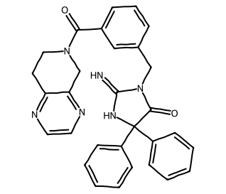 N=C1NC(c2ccccc2)(c2ccccc2)C(=O)N1Cc1cccc(C(=O)N2CCc3nccnc3C2)c1